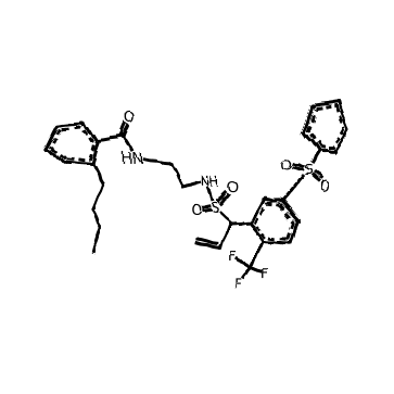 C=CC(c1cc(S(=O)(=O)c2ccccc2)ccc1C(F)(F)F)S(=O)(=O)NCCNC(=O)c1ccccc1CCCC